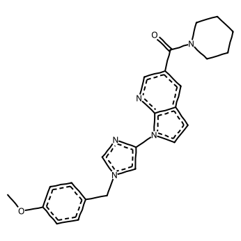 COc1ccc(Cn2cnc(-n3ccc4cc(C(=O)N5CCCCC5)cnc43)c2)cc1